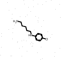 NCCCCCNc1ccc(Cl)cc1